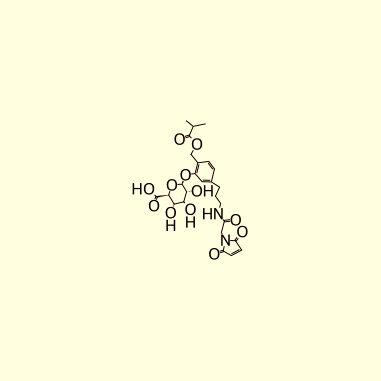 CC(C)C(=O)OCc1ccc(CCCNC(=O)CN2C(=O)C=CC2=O)cc1O[C@@H]1O[C@H](C(=O)O)[C@@H](O)[C@H](O)[C@H]1O